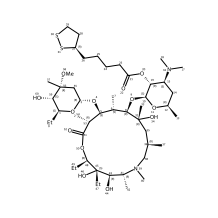 CC[C@@H]1O[C@@H](O[C@H]2[C@H](C)[C@@H](O[C@@H]3O[C@H](C)C[C@H](N(C)C)[C@H]3OC(=O)CCCC[C@@H]3CCSS3)[C@](C)(O)C[C@@H](C)CN(C)[C@H](C)[C@@H](O)[C@@](O)(CC)[C@@H](CC)OC(=O)[C@@H]2C)C[C@@](C)(OC)[C@H]1O